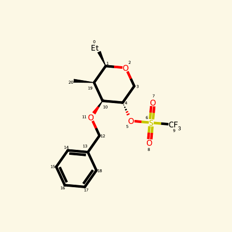 CC[C@H]1OC[C@H](OS(=O)(=O)C(F)(F)F)[C@@H](OCc2ccccc2)[C@H]1C